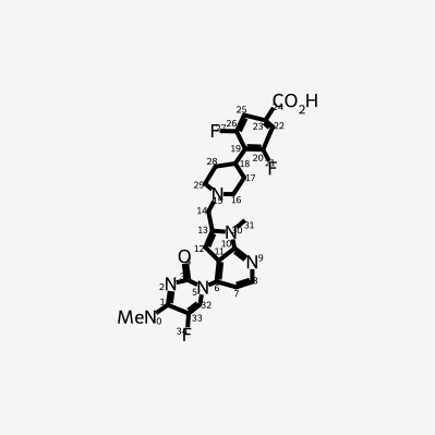 CNc1nc(=O)n(-c2ccnc3c2cc(CN2CCC(c4c(F)cc(C(=O)O)cc4F)CC2)n3C)cc1F